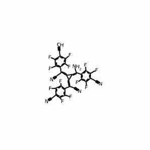 C#Cc1c(F)c(F)c(/C(C#N)=C2/C(=C(C#N)c3c(F)c(F)c(C#N)c(F)c3F)/C2=C(/N)c2c(F)c(F)c(C#N)c(F)c2F)c(F)c1F